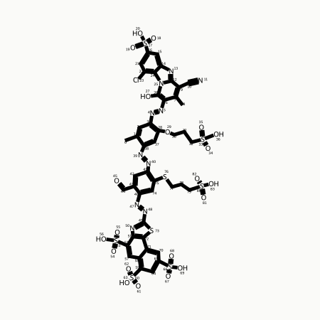 Cc1cc(N=Nc2c(C)c(C#N)c3nc4cc(S(=O)(=O)O)cc(Cl)c4n3c2O)c(OCCCS(=O)(=O)O)cc1N=Nc1cc(C=O)c(N=Nc2nc3c(S(=O)(=O)O)cc4c(S(=O)(=O)O)cc(S(=O)(=O)O)cc4c3s2)cc1SCCCS(=O)(=O)O